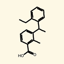 CCc1ccccc1C(C)c1cccc(C(=O)O)c1C